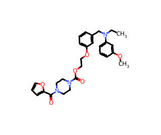 CCN(Cc1cccc(OCCOC(=O)N2CCN(C(=O)c3ccco3)CC2)c1)c1cccc(OC)c1